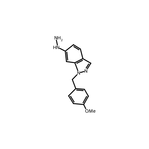 COc1ccc(Cn2ncc3ccc(NN)cc32)cc1